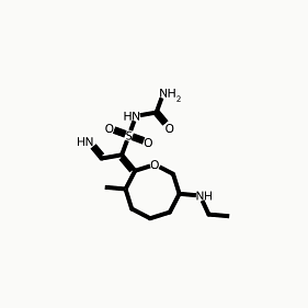 CCNC1CCCC(C)/C(=C(\C=N)S(=O)(=O)NC(N)=O)OC1